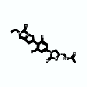 CCn1cc2n(c1=O)CC(c1c(F)cc(N3C[C@H](CNC(C)=O)OC3=O)cc1F)=C2